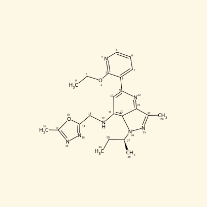 CCOc1ncccc1-c1cc(NCc2nnc(C)o2)c2c(n1)c(C)nn2[C@@H](C)CC